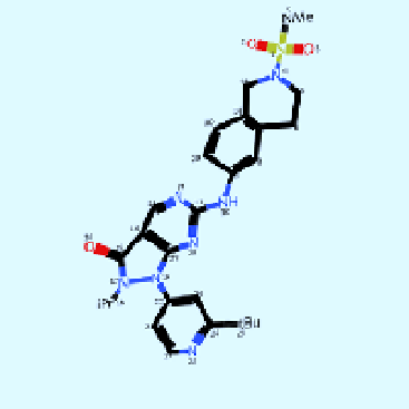 CNS(=O)(=O)N1CCc2cc(Nc3ncc4c(=O)n(C(C)C)n(-c5ccnc(C(C)(C)C)c5)c4n3)ccc2C1